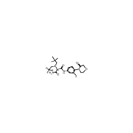 CC(C)(C)CN(CC(F)(F)F)[C@H](C(N)=O)C(=O)Nc1ccc(N2CCOCC2=O)c(F)c1